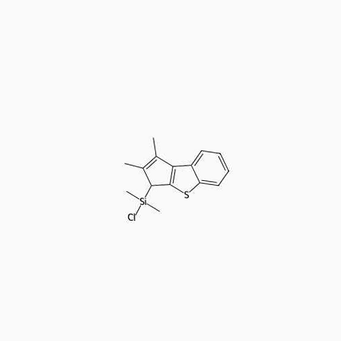 CC1=C(C)C([Si](C)(C)Cl)c2sc3ccccc3c21